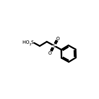 O=S(=O)(O)CCS(=O)(=O)c1ccccc1